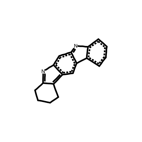 c1ccc2c(c1)N=c1cc3c(cc1-2)=C1CCCCC1=N3